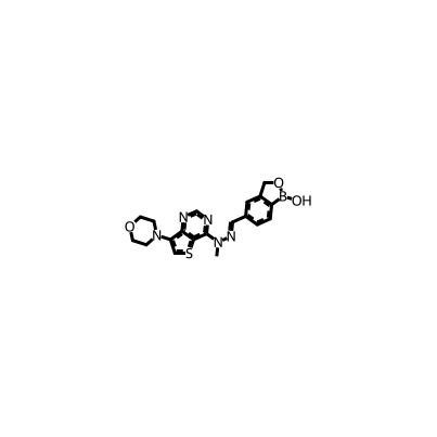 CN(/N=C/c1ccc2c(c1)COB2O)c1ncnc2c(N3CCOCC3)csc12